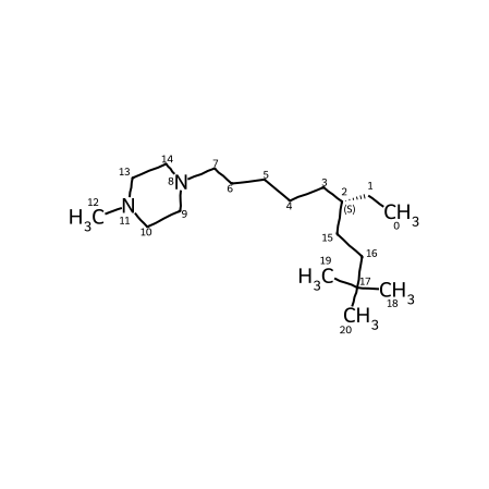 CC[C@@H](CCCCCN1CCN(C)CC1)CCC(C)(C)C